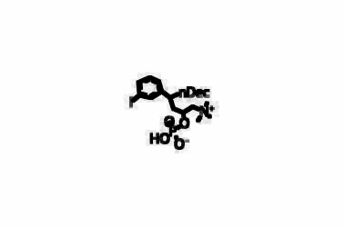 CCCCCCCCCCC(CC(C[N+](C)(C)C)OP(=O)([O-])O)c1cccc(I)c1